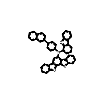 c1ccc2cc(-c3ccc(N(c4cccc5c4oc4ccccc45)c4cc5c6ccccc6oc5c5sc6ccccc6c45)cc3)ccc2c1